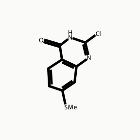 CSc1ccc2c(=O)[nH]c(Cl)nc2c1